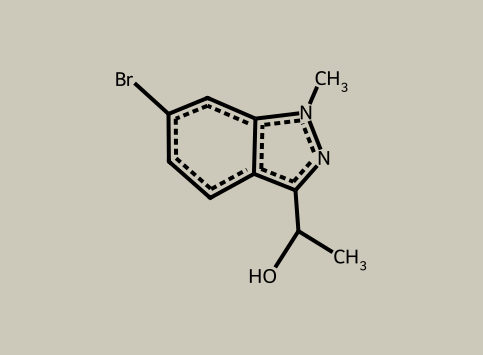 CC(O)c1nn(C)c2cc(Br)ccc12